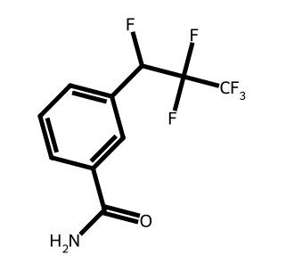 NC(=O)c1cccc(C(F)C(F)(F)C(F)(F)F)c1